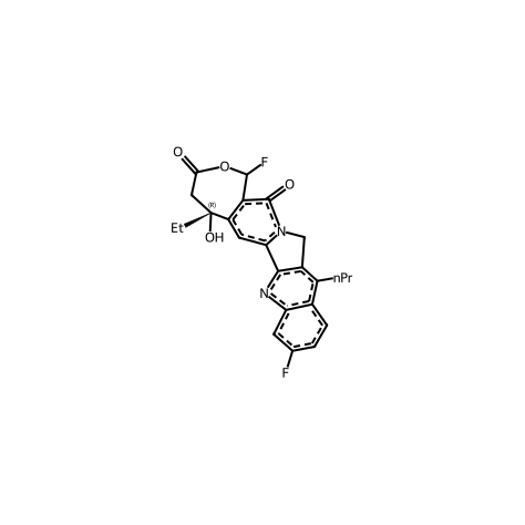 CCCc1c2c(nc3cc(F)ccc13)-c1cc3c(c(=O)n1C2)C(F)OC(=O)C[C@]3(O)CC